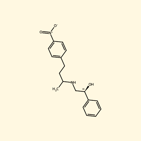 CC(CCc1ccc([N+](=O)[O-])cc1)NC[C@@H](O)c1ccccc1